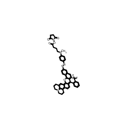 CN(CCCC(=O)ON1C(=O)CCC1=O)c1ccc(/N=N/c2ccc3c4c(ccc3c2)C(c2ccccc2C(F)(F)F)=c2ccc3c5c6c(cc3c2O4)CCC[N+]=6CCC5)cc1